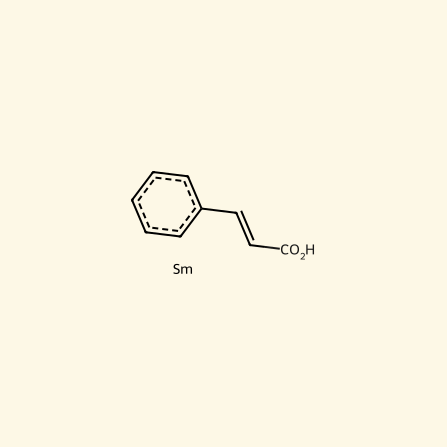 O=C(O)C=Cc1ccccc1.[Sm]